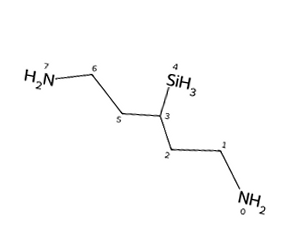 NCCC([SiH3])CCN